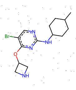 CC1CCC(Nc2ncc(Br)c(OC3CNC3)n2)CC1